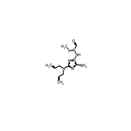 C=CCN(CC=C)c1nc(N)n(NN(C=O)SC)n1